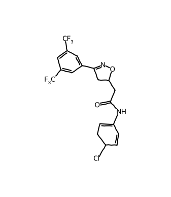 O=C(CC1CC(c2cc(C(F)(F)F)cc(C(F)(F)F)c2)=NO1)NC1=CCC(Cl)C=C1